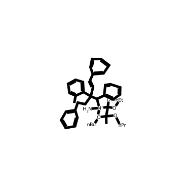 CCCCOC(C)(OCCC)C(OC)(OCC)[N+](C)(N)C(c1ccccc1)C(C=Cc1ccccc1)(CCc1ccccc1)c1ccccc1C